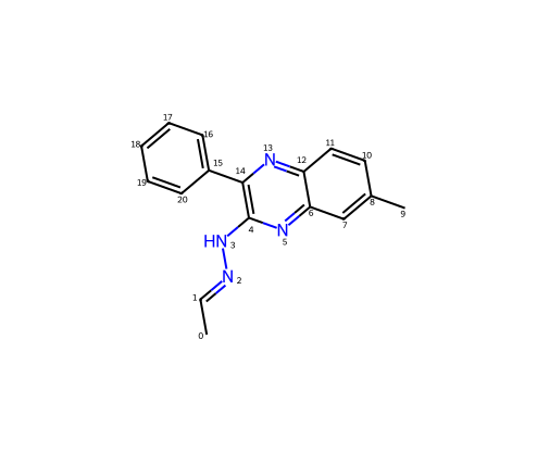 C/C=N/Nc1nc2cc(C)ccc2nc1-c1ccccc1